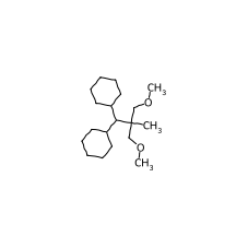 COCC(C)(COC)C(C1CCCCC1)C1CCCCC1